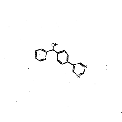 OC(c1ccccc1)c1ccc(-c2cncnc2)cc1